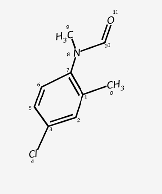 Cc1cc(Cl)ccc1N(C)C=O